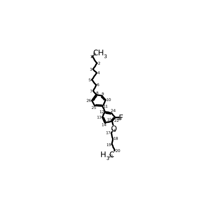 CCCCCCCCc1ccc(-c2ccc(OCCCCC)c(F)c2)cc1